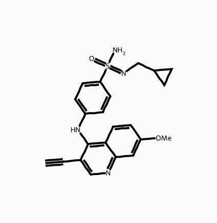 C#Cc1cnc2cc(OC)ccc2c1Nc1ccc(S(N)(=O)=NCC2CC2)cc1